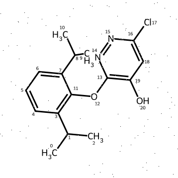 CC(C)c1cccc(C(C)C)c1Oc1nnc(Cl)cc1O